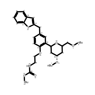 CCCCOCC1C[C@H](OCCCC)CC(c2cc(Cc3cc4ccccc4s3)ccc2OCCNC(=O)OC(C)(C)C)O1